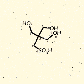 O=S(=O)(O)CC(CO)(CO)CO